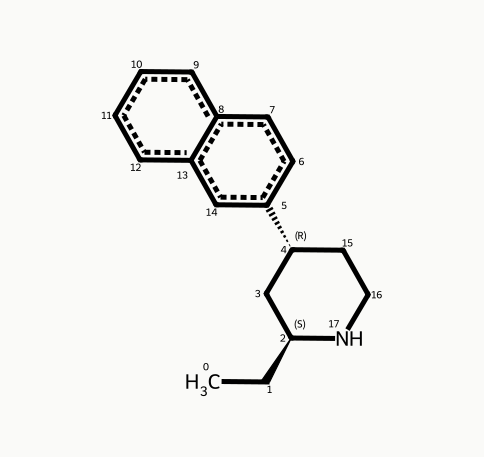 CC[C@H]1C[C@H](c2ccc3ccccc3c2)CCN1